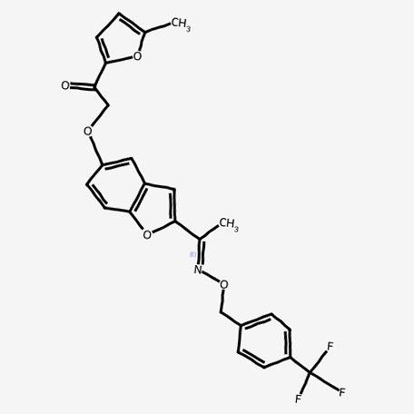 C/C(=N\OCc1ccc(C(F)(F)F)cc1)c1cc2cc(OCC(=O)c3ccc(C)o3)ccc2o1